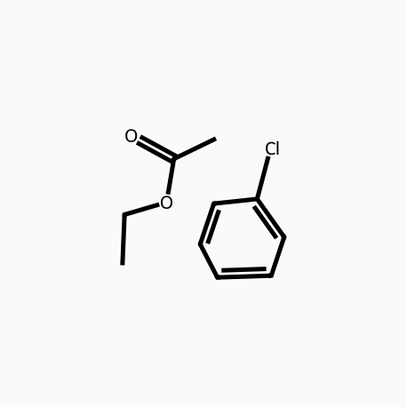 CCOC(C)=O.Clc1ccccc1